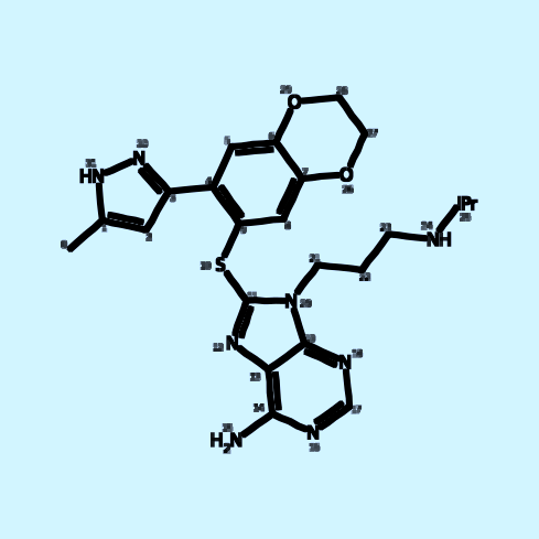 Cc1cc(-c2cc3c(cc2Sc2nc4c(N)ncnc4n2CCCNC(C)C)OCCO3)n[nH]1